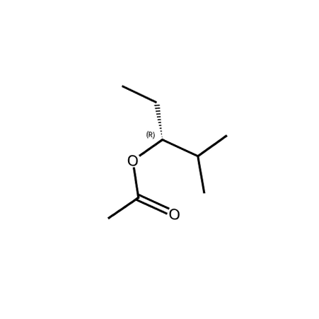 CC[C@@H](OC(C)=O)C(C)C